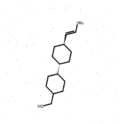 CCCC/C=C/[C@H]1CC[C@H](C2CCC(CO)CC2)CC1